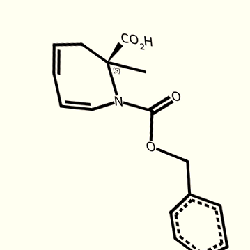 C[C@@]1(C(=O)O)CC=CC=CN1C(=O)OCc1ccccc1